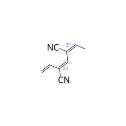 C=C/C(C#N)=C\C(C#N)=C/C